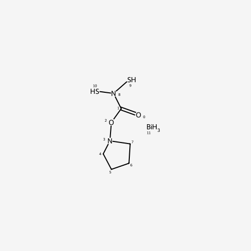 O=C(ON1CCCC1)N(S)S.[BiH3]